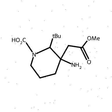 COC(=O)CC1(N)CCCN(C(=O)O)C1C(C)(C)C